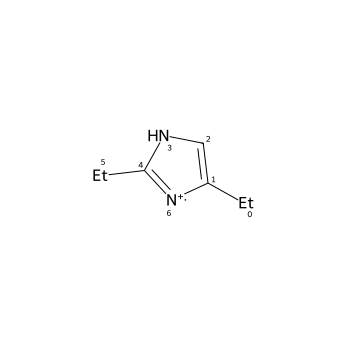 CCC1=CNC(CC)=[N+]1